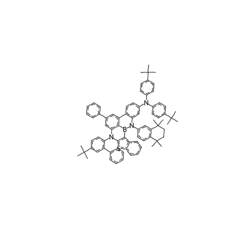 CC(C)(C)c1ccc(N(c2ccc(C(C)(C)C)cc2)c2ccc3c(c2)N(c2ccc4c(c2)C(C)(C)CCC4(C)C)B2c4c-3cc(-c3ccccc3)cc4N(c3ccc(C(C)(C)C)cc3-c3ccccc3)c3sc4ccccc4c32)cc1